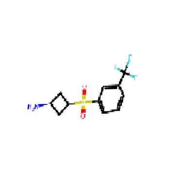 N[C@H]1C[C@@H](S(=O)(=O)c2cccc(C(F)(F)F)c2)C1